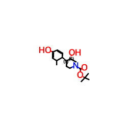 CC1C=C(O)C=CC1[C@@H]1CCN(C(=O)OC(C)(C)C)C[C@H]1O